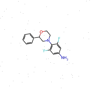 Nc1cc(F)c(N2CCOC(c3ccccc3)C2)c(F)c1